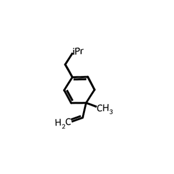 C=CC1(C)C=CC(CC(C)C)=CC1